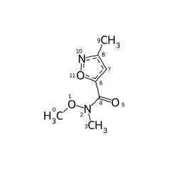 CON(C)C(=O)c1cc(C)no1